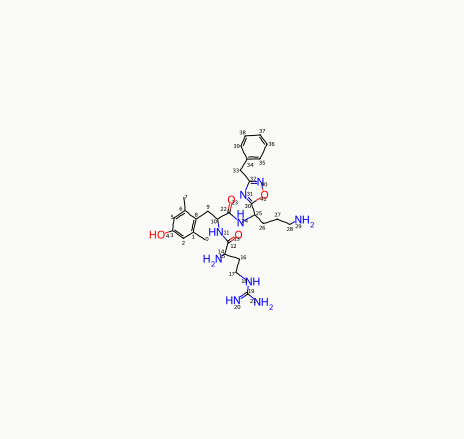 Cc1cc(O)cc(C)c1CC(NC(=O)C(N)CCNC(=N)N)C(=O)NC(CCCN)c1nc(Cc2ccccc2)no1